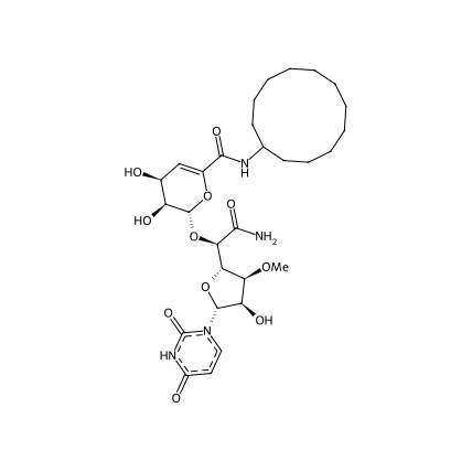 CO[C@H]1[C@@H](O)[C@H](n2ccc(=O)[nH]c2=O)O[C@@H]1[C@@H](O[C@H]1OC(C(=O)NC2CCCCCCCCCCC2)=C[C@H](O)[C@@H]1O)C(N)=O